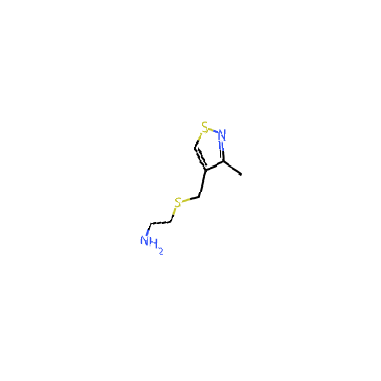 Cc1nscc1CSCCN